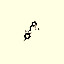 CN1CCCC1CCNC1(F)[CH]C=C(F)C=C1